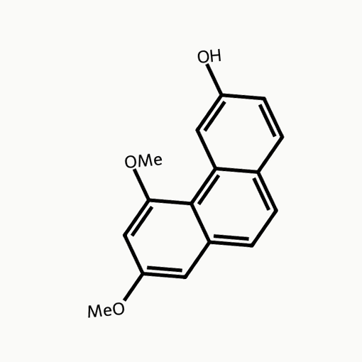 COc1cc(OC)c2c(ccc3ccc(O)cc32)c1